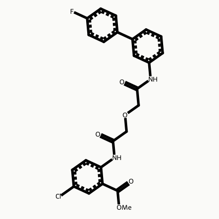 COC(=O)c1cc(Cl)ccc1NC(=O)COCC(=O)Nc1cccc(-c2ccc(F)cc2)c1